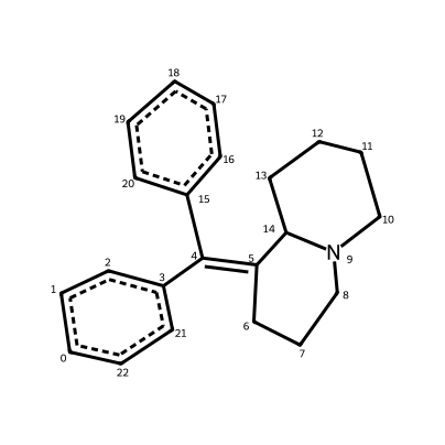 c1ccc(C(=C2CCCN3CCCCC23)c2ccccc2)cc1